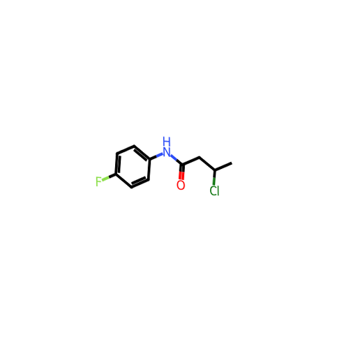 CC(Cl)CC(=O)Nc1ccc(F)cc1